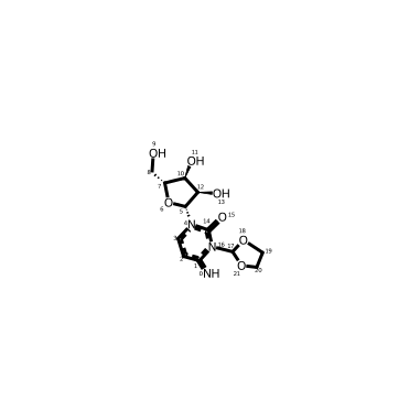 N=c1ccn([C@@H]2O[C@H](CO)[C@@H](O)[C@H]2O)c(=O)n1C1OCCO1